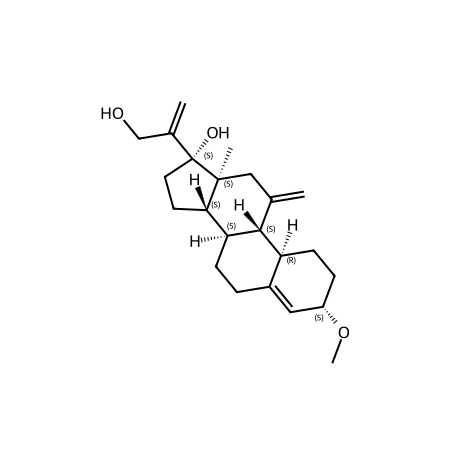 C=C1C[C@@]2(C)[C@@H](CC[C@@]2(O)C(=C)CO)[C@@H]2CCC3=C[C@@H](OC)CC[C@@H]3[C@@H]12